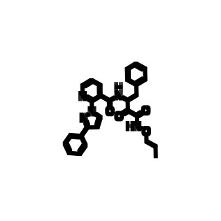 CCCONC(=O)C(=O)C(Cc1ccccc1)NC(=O)c1cccnc1-n1ccc(-c2ccccc2)n1